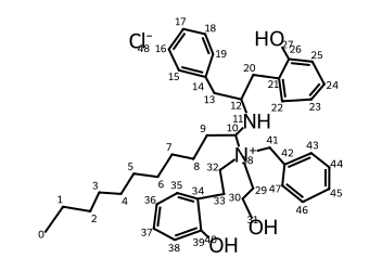 CCCCCCCCCCC(NC(Cc1ccccc1)Cc1ccccc1O)[N+](CCO)(CCc1ccccc1O)Cc1ccccc1.[Cl-]